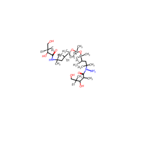 CCC(C)(CO)C(O)C(C)C(=O)N(N)C(C)(C)CC(C)[Si](C)(C)O[Si](C)(C)O[Si](C)(C)[C@@](C)(CC)C[C@@](C)(CC)NC(=O)C(O)[C@](C)(CC)CO